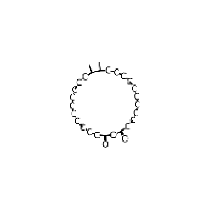 CC1CCCCCCCCCCC(=O)OC(=O)CCCCCCCCCCC1C